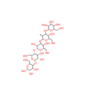 C[C@H]1C(O[C@@H]2OC(CO)[C@H](O)C(O)[C@@H]2O)[C@@H](O)C(CO)O[C@H]1O[C@@H]1C(O)[C@@H](O[C@H]2C(CO)O[C@@H](O[C@@H]3C(CO)O[C@@H](O)[C@@H](O)C3O)[C@@H](O)C2O)OC(CO)[C@@H]1O